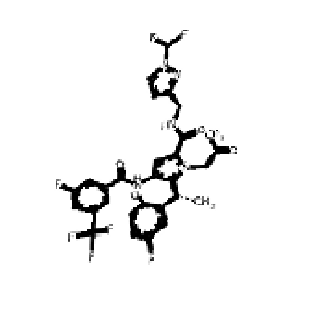 CC(=O)Cn1c(C(=O)NCc2ccn(C(F)F)n2)cc(NC(=O)c2cc(F)cc(C(F)(F)F)c2)c1[C@H](C)c1cc(F)ccc1Cl